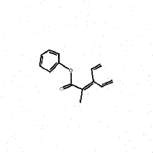 C=CC(C=C)=C(C)C(=O)Oc1ccccc1